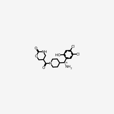 N[C@@H](c1cc(Cl)c(Cl)cc1O)C1CCN(C(=O)C2CNC(=O)OC2)CC1